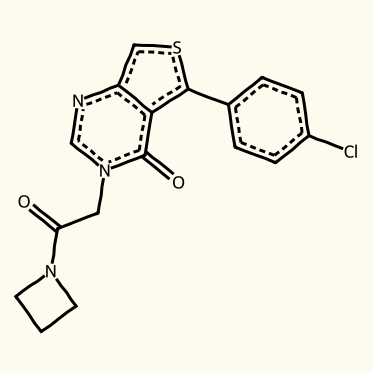 O=C(Cn1cnc2csc(-c3ccc(Cl)cc3)c2c1=O)N1CCC1